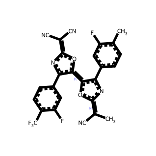 C/C(C#N)=c1\nc(-c2ccc(C)c(F)c2)/c(=c2\oc(=C(C#N)C#N)nc2-c2ccc(C(F)(F)F)c(F)c2)o1